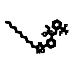 CCCCCCCCCCCc1noc(-c2cccc(C(Cc3ccccc3C(F)(F)F)[N+]([O])CC)c2)n1